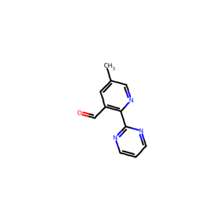 Cc1cnc(-c2ncccn2)c(C=O)c1